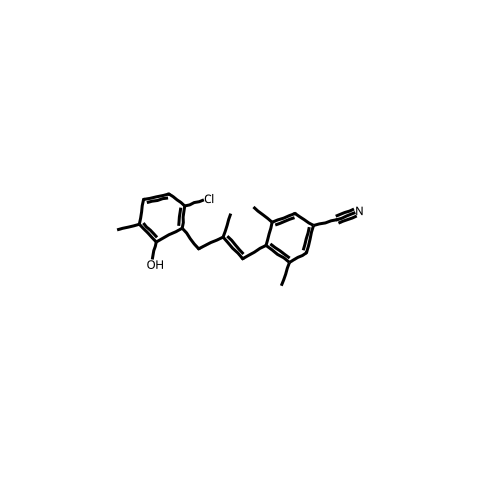 C/C(=C\c1c(C)cc(C#N)cc1C)Cc1c(Cl)ccc(C)c1O